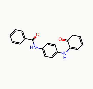 O=C1CC=CC=C1Nc1ccc(NC(=O)c2ccccc2)cc1